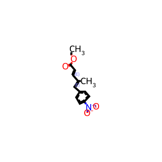 CCOC(=O)/C=C/C(C)=C/c1ccc([N+](=O)[O-])cc1